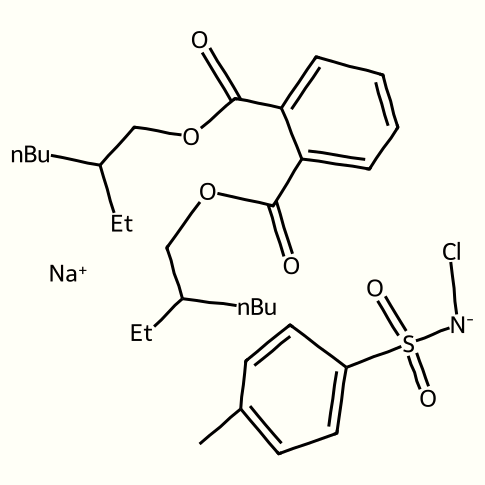 CCCCC(CC)COC(=O)c1ccccc1C(=O)OCC(CC)CCCC.Cc1ccc(S(=O)(=O)[N-]Cl)cc1.[Na+]